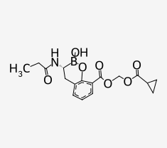 CCC(=O)N[C@H]1Cc2cccc(C(=O)OCOC(=O)C3CC3)c2OB1O